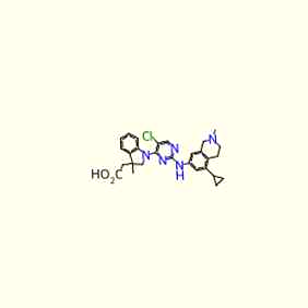 CN1CCc2c(cc(Nc3ncc(Cl)c(N4CC(C)(CC(=O)O)c5ccccc54)n3)cc2C2CC2)C1